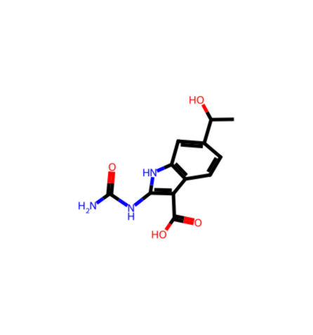 CC(O)c1ccc2c(C(=O)O)c(NC(N)=O)[nH]c2c1